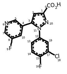 O=C(O)c1cc(-c2cncc(F)c2)n(-c2ccc(F)c(Cl)c2)n1